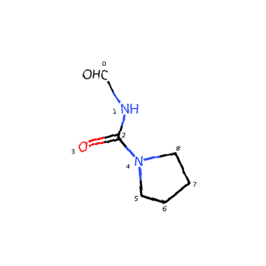 O=CNC(=O)N1CCCC1